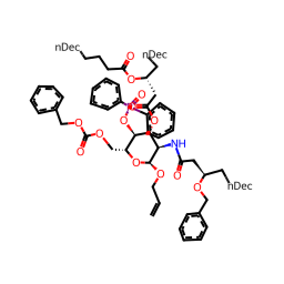 C=CCO[C@H]1O[C@H](COC(=O)OCc2ccccc2)[C@@H](OP(=O)(c2ccccc2)c2ccccc2)[C@H](OC(=O)C[C@@H](CCCCCCCCCCC)OC(=O)CCCCCCCCCCCCC)[C@H]1NC(=O)C[C@@H](CCCCCCCCCCC)OCc1ccccc1